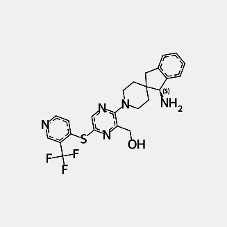 N[C@@H]1c2ccccc2CC12CCN(c1ncc(Sc3ccncc3C(F)(F)F)nc1CO)CC2